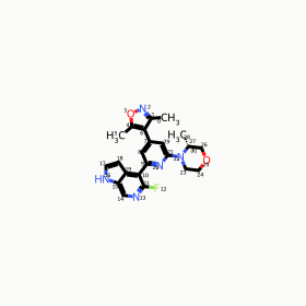 Cc1noc(C)c1-c1cc(-c2c(F)ncc3[nH]ccc23)nc(N2CCOC[C@H]2C)c1